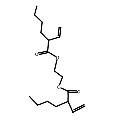 C=CC(CCCC)C(=O)OCCOC(=O)C(C=C)CCCC